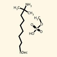 CCCCCCCCCCCCCCCCCC(C)(C)N.COS(=O)(=O)O